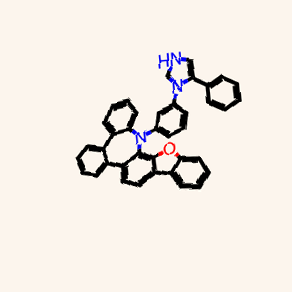 C1=C(c2ccccc2)N(c2cccc(N3c4ccccc4-c4ccccc4-c4ccc5c(oc6ccccc65)c43)c2)CN1